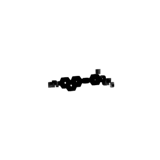 CCCC1CCC2c3ccc(C#Cc4ccc(OC(F)(F)F)c(F)c4)cc3CCC2C1